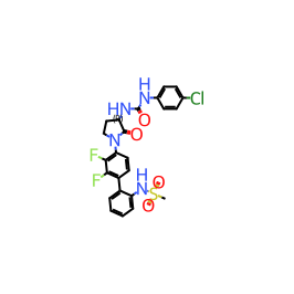 CS(=O)(=O)Nc1ccccc1-c1ccc(N2CC[C@@H](NC(=O)Nc3ccc(Cl)cc3)C2=O)c(F)c1F